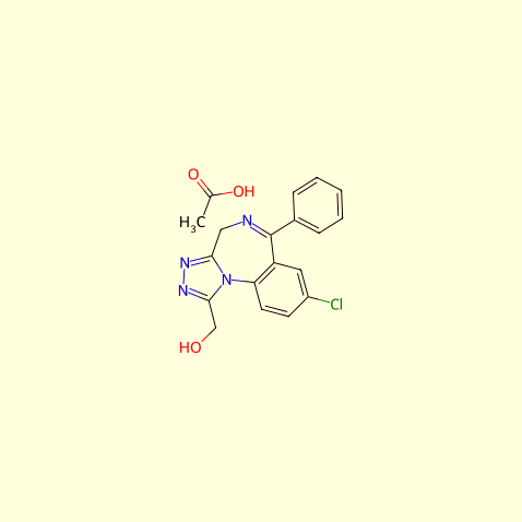 CC(=O)O.OCc1nnc2n1-c1ccc(Cl)cc1C(c1ccccc1)=NC2